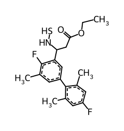 CCOC(=O)CC(NS)c1cc(-c2c(C)cc(F)cc2C)cc(C)c1F